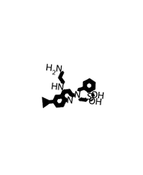 NCCCNc1cc(N2CCS(O)(O)c3ccccc3C2)nc2ccc(C3CC3)cc12